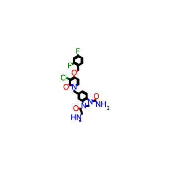 CNCC(=O)N1CN(C(N)=O)c2ccc(Cn3ccc(OCc4ccc(F)cc4F)c(Cl)c3=O)cc21